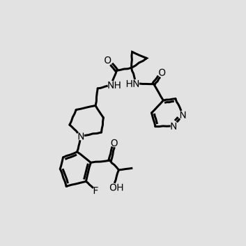 CC(O)C(=O)c1c(F)cccc1N1CCC(CNC(=O)C2(NC(=O)c3ccnnc3)CC2)CC1